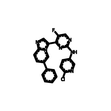 Fc1cnc(Nc2ccc(Cl)nc2)nc1-c1cnc2ccc(-c3ccccc3)cn12